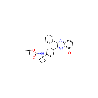 CC(C)(C)OC(=O)NC1(c2ccc(-c3nc4c(O)cccc4nc3-c3ccccc3)cc2)CCC1